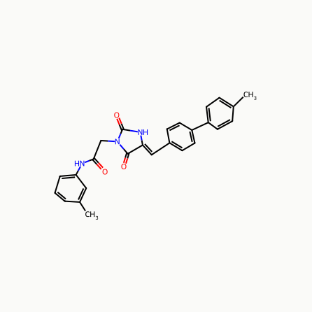 Cc1ccc(-c2ccc(/C=C3\NC(=O)N(CC(=O)Nc4cccc(C)c4)C3=O)cc2)cc1